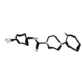 Cc1ccc(NC(=O)N2CCN(c3ccccc3F)CC2)cc1